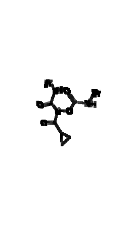 CC(C)NC(=O)ON(C(=O)NC(C)C)C(=O)C1CC1